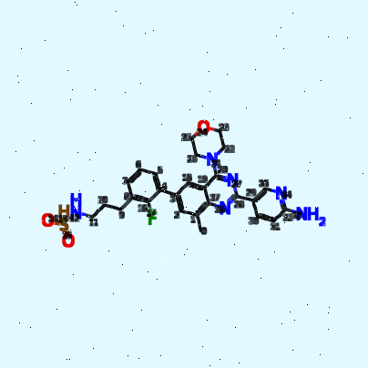 Cc1cc(-c2cccc(CCCN[SH](=O)=O)c2F)cc2c(N3CCOCC3)nc(-c3ccc(N)nc3)nc12